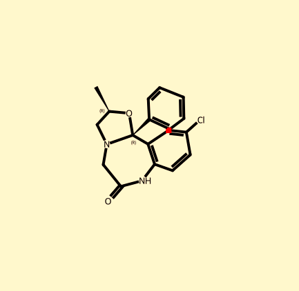 C[C@@H]1CN2CC(=O)Nc3ccc(Cl)cc3[C@@]2(c2ccccc2)O1